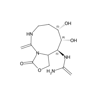 C=C(N)N[C@H]1C2COC(=O)N2C(=C)NCC[C@H](O)[C@@H]1O